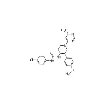 COc1ccc(C2CN(c3ccnc(C)c3)CCC2NC(=O)Nc2ccc(Cl)cc2)cc1